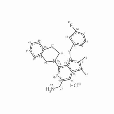 Cc1c(C)n(Cc2cccc(F)c2)c2c(N3CCc4ccccc4C3)nc(CN)cc12.Cl